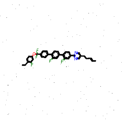 C/C=C/CCc1cnc(-c2ccc(-c3ccc(-c4ccc(C(F)(F)Oc5ccc(CC)c(F)c5)cc4)c(F)c3)c(F)c2)nc1